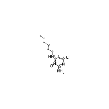 CCCCCCNc1cc(Cl)nc(N)[n+]1[O-]